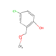 COCc1cc(Cl)ccc1O